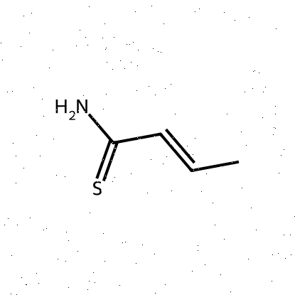 CC=CC(N)=S